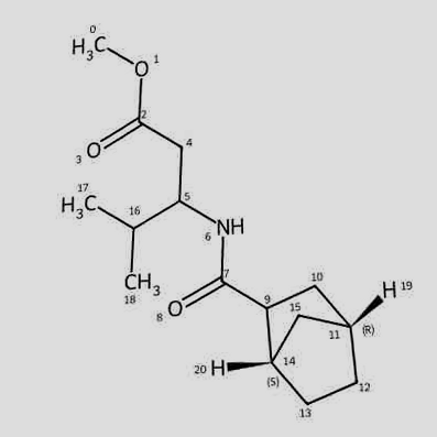 COC(=O)CC(NC(=O)C1C[C@@H]2CC[C@H]1C2)C(C)C